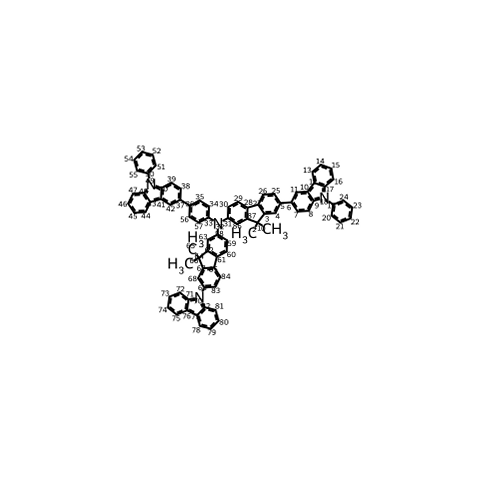 CC1(C)c2cc(-c3ccc4c(c3)c3ccccc3n4-c3ccccc3)ccc2-c2ccc(N(c3ccc(-c4ccc5c(c4)c4ccccc4n5-c4ccccc4)cc3)c3ccc4c(c3)C(C)(C)c3cc(-n5c6ccccc6c6ccccc65)ccc3-4)cc21